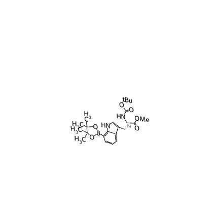 COC(=O)[C@H](Cc1c[nH]c2c(B3OC(C)(C)C(C)(C)O3)cccc12)NC(=O)OC(C)(C)C